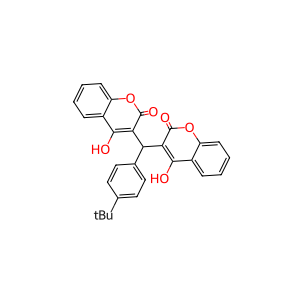 CC(C)(C)c1ccc(C(c2c(O)c3ccccc3oc2=O)c2c(O)c3ccccc3oc2=O)cc1